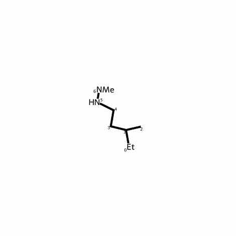 CCC(C)CCNNC